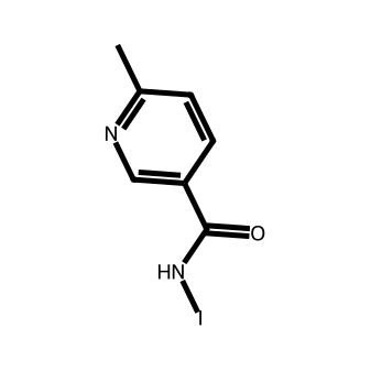 Cc1ccc(C(=O)NI)cn1